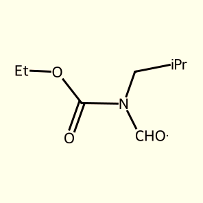 CCOC(=O)N([C]=O)CC(C)C